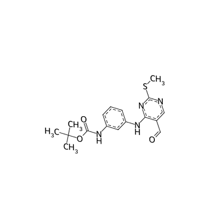 CSc1ncc(C=O)c(Nc2cccc(NC(=O)OC(C)(C)C)c2)n1